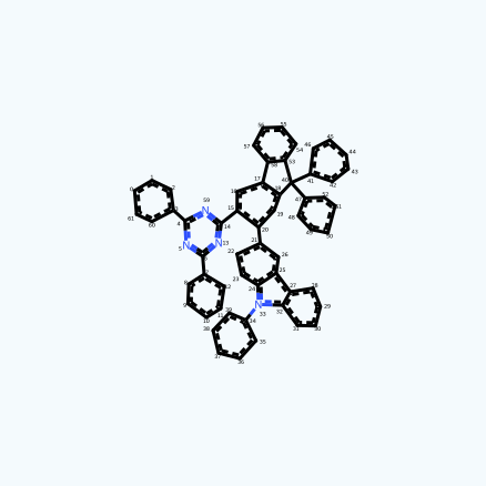 c1ccc(-c2nc(-c3ccccc3)nc(-c3cc4c(cc3-c3ccc5c(c3)c3ccccc3n5-c3ccccc3)C(c3ccccc3)(c3ccccc3)c3ccccc3-4)n2)cc1